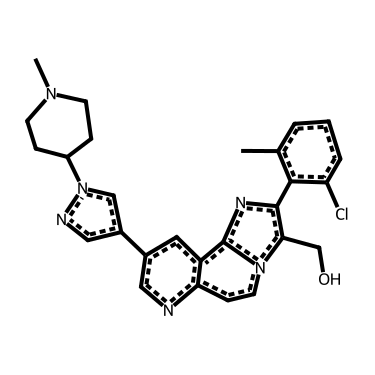 Cc1cccc(Cl)c1-c1nc2c3cc(-c4cnn(C5CCN(C)CC5)c4)cnc3ccn2c1CO